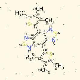 Cc1sc(-c2c3c(c(-c4sc(C)c(C)c4C)c4nsnc24)N=S=N3)c(C)c1C